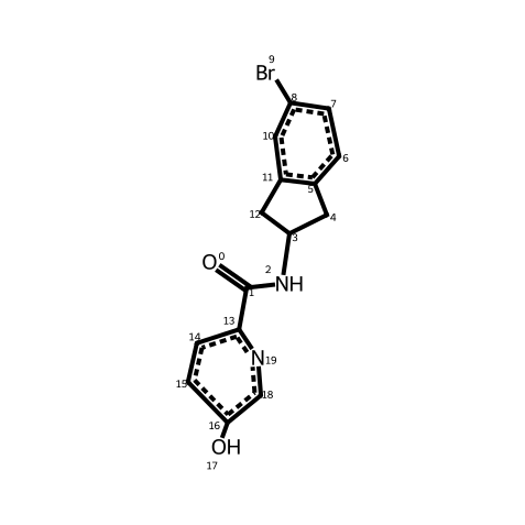 O=C(NC1Cc2ccc(Br)cc2C1)c1ccc(O)cn1